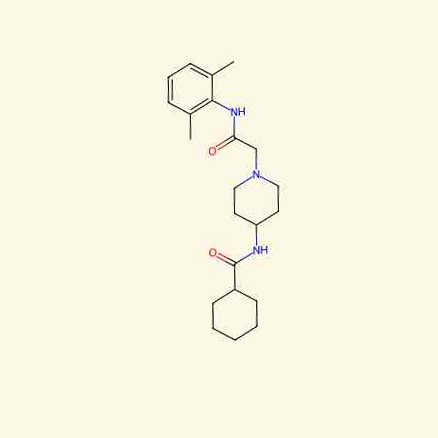 Cc1cccc(C)c1NC(=O)CN1CCC(NC(=O)C2CCCCC2)CC1